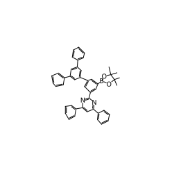 CC1(C)OB(c2cc(-c3cc(-c4ccccc4)cc(-c4ccccc4)c3)cc(-c3nc(-c4ccccc4)cc(-c4ccccc4)n3)c2)OC1(C)C